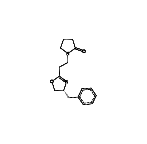 O=C1CCCN1CCC1=N[C@H](Cc2ccccc2)CO1